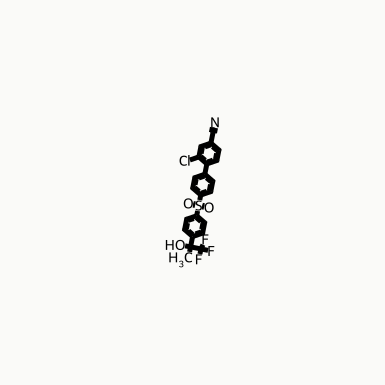 CC(O)(c1ccc(S(=O)(=O)c2ccc(-c3ccc(C#N)cc3Cl)cc2)cc1)C(F)(F)F